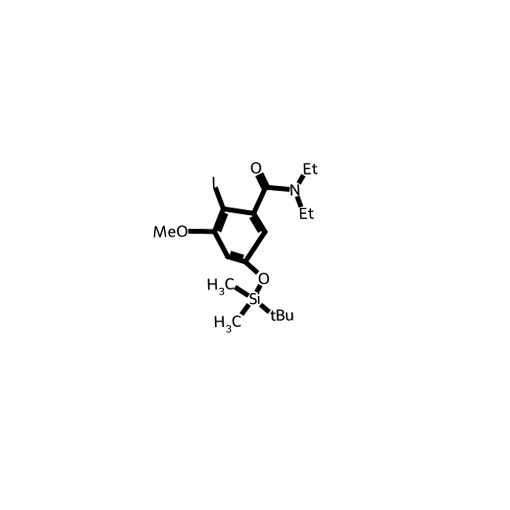 CCN(CC)C(=O)c1cc(O[Si](C)(C)C(C)(C)C)cc(OC)c1I